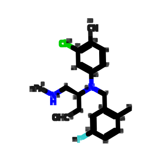 CCCNC[C@H](CC=O)N(Cc1cc(F)ccc1C)c1ccc(C#N)c(Cl)c1